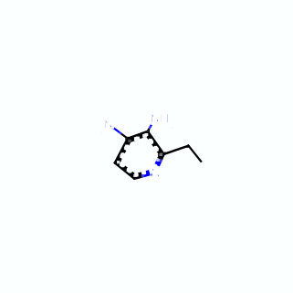 CCc1nccc(N)c1N